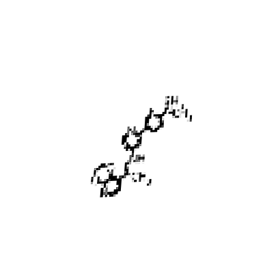 C[C@H](CNc1cc(-c2ccc(N(C)C)nc2)ncn1)c1ccnc2c1OCCO2